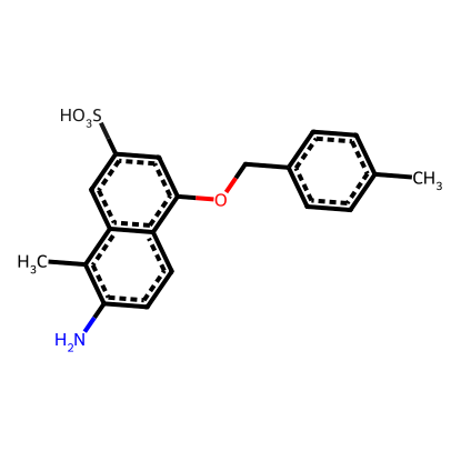 Cc1ccc(COc2cc(S(=O)(=O)O)cc3c(C)c(N)ccc23)cc1